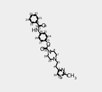 Cc1nc(CCN2CCN(C(=O)Oc3ccc(NC(=O)c4ccccc4)cc3)CC2)cs1